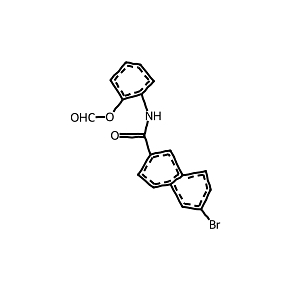 O=COc1ccccc1NC(=O)c1ccc2cc(Br)ccc2c1